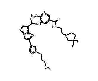 COCCn1cc(-c2cn3ncc(C(=O)Nc4cc(C(=O)NCCN5CCC(F)(F)C5)cnc4C)c3s2)cn1